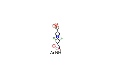 CC(=O)NCC1CN(c2cc(F)c(N3CCC(C4=CS(=O)(=O)C=C4)CC3)c(F)c2)C(=O)O1